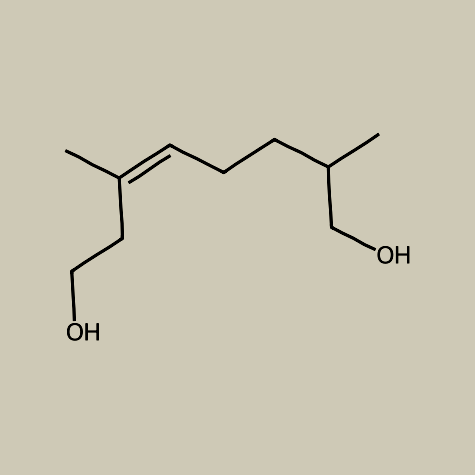 C/C(=C/CCC(C)CO)CCO